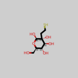 OC[C@H]1O[C@@H](O)[C@@](O)(CCS)[C@@H](O)[C@@H]1O